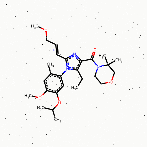 CCc1c(C(=O)N2CCOCC2(C)C)nc(/C=C/COC)n1-c1cc(OC(C)C)c(OC)cc1C